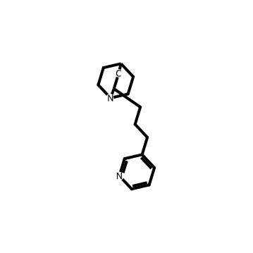 c1cncc(CCCC2CC3CCN2CC3)c1